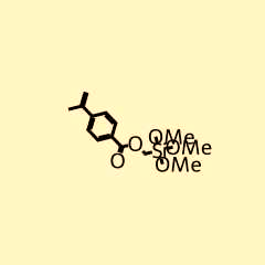 C=C(C)c1ccc(C(=O)OC[Si](OC)(OC)OC)cc1